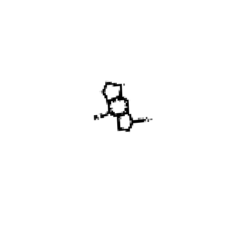 O=C1CCc2c1cc1c(c2Br)CCC1